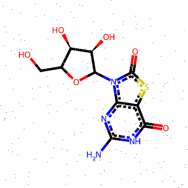 Nc1nc2c(sc(=O)n2C2OC(CO)[C@@H](O)[C@H]2O)c(=O)[nH]1